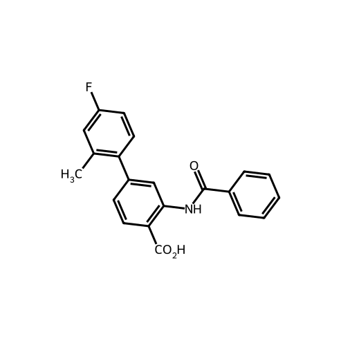 Cc1cc(F)ccc1-c1ccc(C(=O)O)c(NC(=O)c2ccccc2)c1